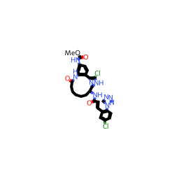 COC(=O)Nc1ccc2c(c1)NC(=O)CCCCCC(NC(=O)/C=C/c1cc(Cl)ccc1-n1cnnn1)c1nc-2c(Cl)[nH]1